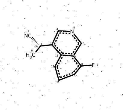 C[C@H](C#N)c1cncc2c(F)cccc12